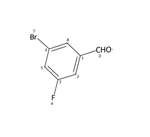 O=[C]c1cc(F)cc(Br)c1